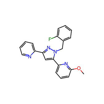 COc1cccc(-c2cc(-c3ccccn3)nn2Cc2ccccc2F)n1